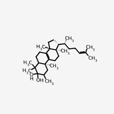 CC(C)=CCC[C@@H](C)[C@H]1CC[C@@]2(C)C3=C(CC[C@]12C)[C@@]1(C)CC(C)C(O)(O)C(C)(C)C1CC3